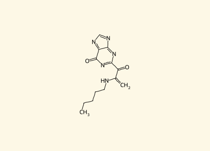 C=C(NCCCCC)C(=O)C1=NC(=O)C2=NC=NC2=N1